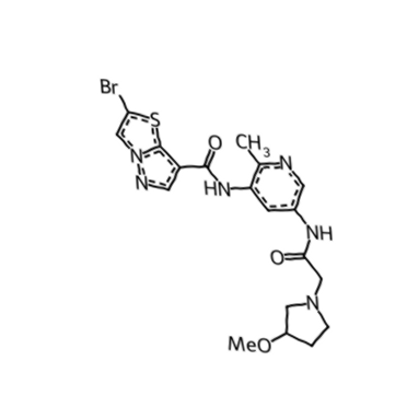 COC1CCN(CC(=O)Nc2cnc(C)c(NC(=O)c3cnn4cc(Br)sc34)c2)C1